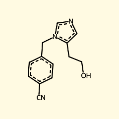 N#Cc1ccc(Cn2cncc2CCO)cc1